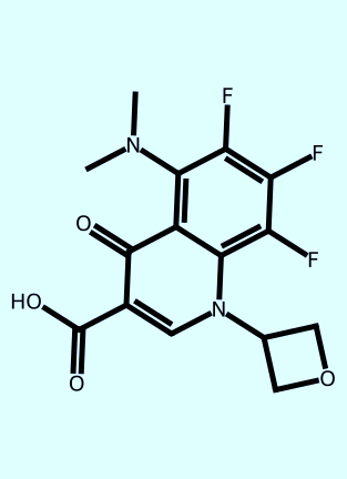 CN(C)c1c(F)c(F)c(F)c2c1c(=O)c(C(=O)O)cn2C1COC1